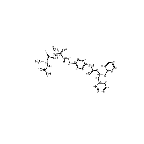 C[C@@H](NC(=O)O)C(=O)N[C@H](C)C(=O)NCCc1ccc(NC(=O)CN(Cc2ccccn2)Cc2ccccn2)cc1